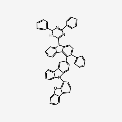 c1ccc(C2=NC(c3ccccc3)NC(n3c4ccccc4c4c(-c5ccc6c(c5)c5ccccc5n6-c5cccc6c5oc5ccccc56)c(-c5ccccc5)ccc43)=N2)cc1